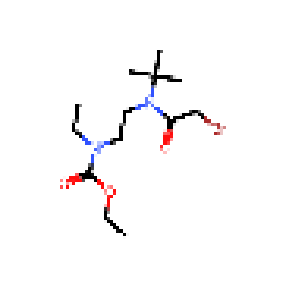 CCOC(=O)N(CC)CCN(C(=O)CBr)C(C)(C)C